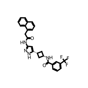 O=C(Cc1cccc2ccccc12)Nc1cc([C@H]2C[C@@H](NC(=O)c3cccc(C(F)(F)F)c3)C2)[nH]n1